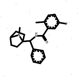 Cc1ccc(F)cc1C(=O)NC(c1ccccc1)C12CCC(CC1)N2C